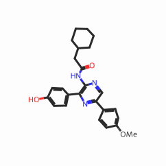 COc1ccc(-c2cnc(NC(=O)CC3CCCCC3)c(-c3ccc(O)cc3)n2)cc1